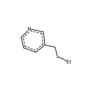 CCSCc1cc[c]nc1